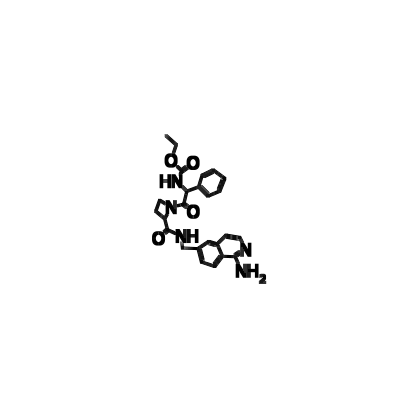 CCOC(=O)NC(C(=O)N1CCC1C(=O)NCc1ccc2c(N)nccc2c1)c1ccccc1